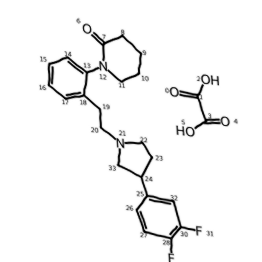 O=C(O)C(=O)O.O=C1CCCCN1c1ccccc1CCN1CCC(c2ccc(F)c(F)c2)C1